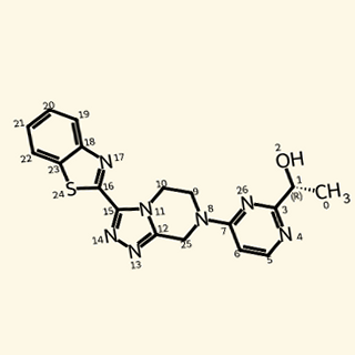 C[C@@H](O)c1nccc(N2CCn3c(nnc3-c3nc4ccccc4s3)C2)n1